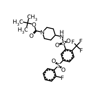 CC(C)(C)OC(=O)N1CCC(NS(=O)(=O)c2cc(S(=O)(=O)c3ccccc3F)ccc2C(F)(F)F)CC1